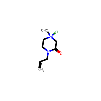 C=CCN1CC[N+](Cl)(C=O)CC1=O